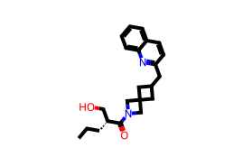 CCC[C@H](CO)C(=O)N1CC2(CC(Cc3ccc4ccccc4n3)C2)C1